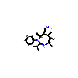 C=C1/C(C)=C(C)\N=C(\C(C)C)N(c2ccccc2)C(=C)/C1=C/N